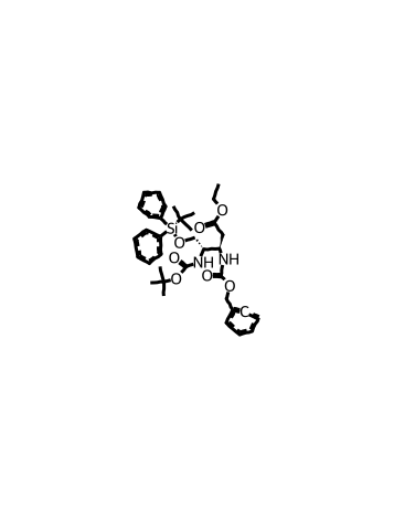 CCOC(=O)C[C@@H](NC(=O)OCc1ccccc1)[C@@H](CO[Si](c1ccccc1)(c1ccccc1)C(C)(C)C)NC(=O)OC(C)(C)C